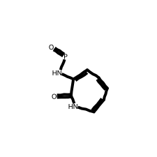 O=PNC1=CC=CC=CNC1=O